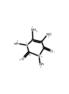 CCCn1c(N)c(N=O)c(=O)n(CCC)c1=O